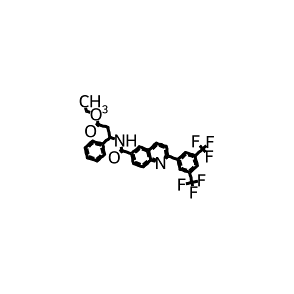 CCOC(=O)CC(NC(=O)c1ccc2nc(-c3cc(C(F)(F)F)cc(C(F)(F)F)c3)ccc2c1)c1ccccc1